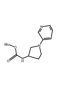 CC(C)(C)OC(=O)NC1CCN(c2cccnc2)C1